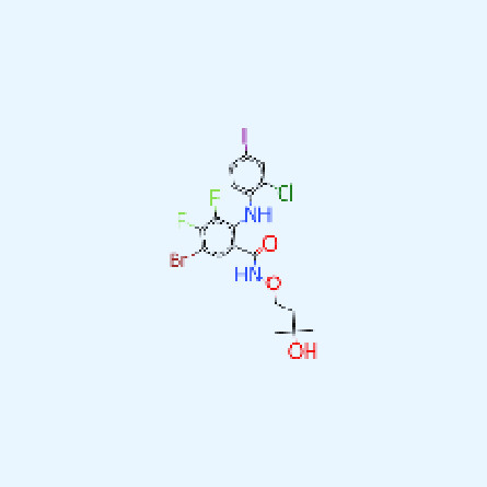 CC(C)(O)CCONC(=O)c1cc(Br)c(F)c(F)c1Nc1ccc(I)cc1Cl